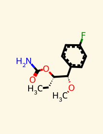 CC[C@H](OC(N)=O)[C@@H](OC)c1ccc(F)cc1